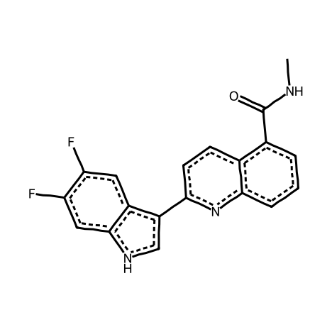 CNC(=O)c1cccc2nc(-c3c[nH]c4cc(F)c(F)cc34)ccc12